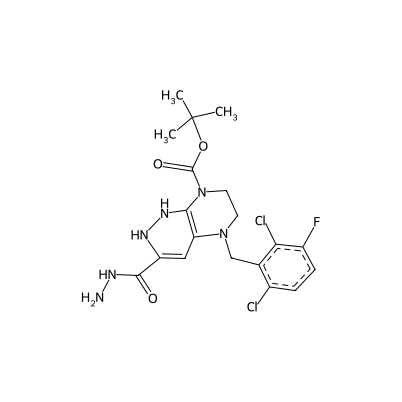 CC(C)(C)OC(=O)N1CCN(Cc2c(Cl)ccc(F)c2Cl)C2=C1NNC(C(=O)NN)=C2